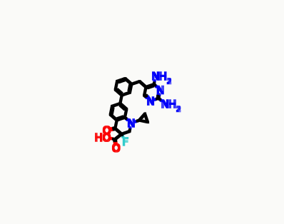 Nc1ncc(Cc2cccc(-c3ccc4c(c3)N(C3CC3)CC(F)(C(=O)O)C4=O)c2)c(N)n1